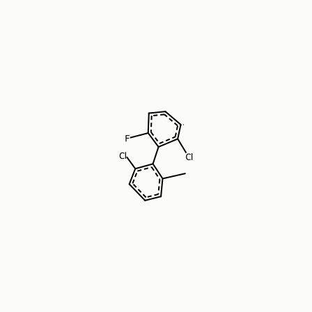 Cc1cccc(Cl)c1-c1c(Cl)[c]ccc1F